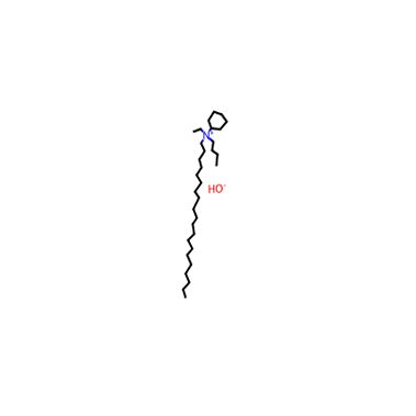 CCCCCCCCCCCCCCCCCCCC[N+](CC)(CCCC)C1CCCCC1.[OH-]